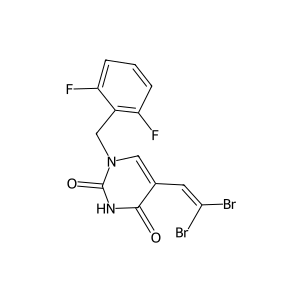 O=c1[nH]c(=O)n(Cc2c(F)cccc2F)cc1C=C(Br)Br